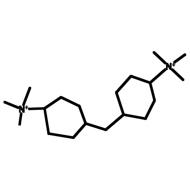 C[N+](C)(C)C1CCC(CC2CCC([N+](C)(C)C)CC2)CC1